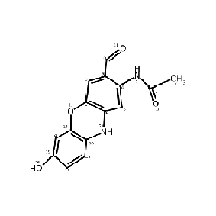 CC(=O)Nc1cc2c(cc1C=O)Oc1cc(O)ccc1N2